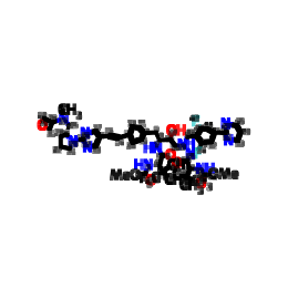 COC(=O)N[C@H](C(=O)N[C@@H](Cc1ccc(C#Cc2cnc(N3CCC[C@@H]3CN(C)C3COC3)nc2)cc1)[C@@H](O)CN(Cc1c(F)cc(-c2ncccn2)cc1F)NC(=O)[C@@H](NC(=O)OC)C(C)(C)C(F)(F)F)C(C)(C)C(F)(F)F